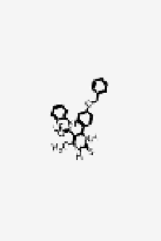 CC1=C(C(=O)Nc2ccccc2C(F)(F)F)C(c2ccc(OCc3ccccc3)cc2)NC(=S)N1